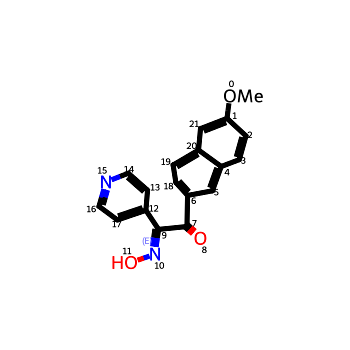 COc1ccc2cc(C(=O)/C(=N/O)c3ccncc3)ccc2c1